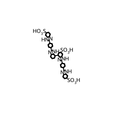 O=S(=O)(O)c1ccc2nc(-c3ccc(-c4nc5c(-c6cccc7nc(-c8ccc(-c9nc%10ccc(S(=O)(=O)O)cc%10[nH]9)cc8)[nH]c67)cc(S(=O)(=O)O)cc5[nH]4)cc3)[nH]c2c1